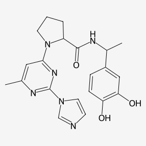 Cc1cc(N2CCCC2C(=O)NC(C)c2ccc(O)c(O)c2)nc(-n2ccnc2)n1